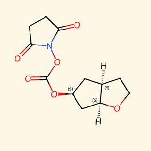 O=C(O[C@H]1C[C@H]2CCO[C@H]2C1)ON1C(=O)CCC1=O